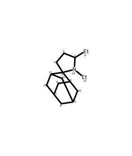 CCC1CCC2(C3CC4CC(C3)CC2C4)N1CC